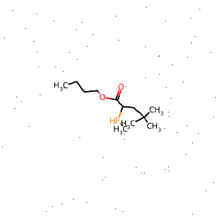 CCCCOC(=O)C(CC(C)(C)C)PC